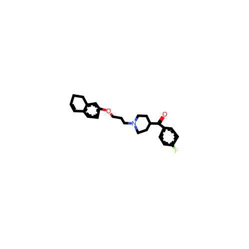 O=C(c1ccc(F)cc1)C1CCN(CCCOc2ccc3c(c2)CCC=C3)CC1